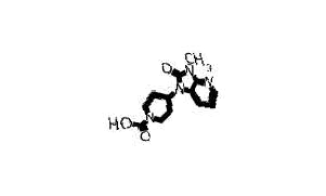 Cn1c(=O)n(C2CCN(C(=O)O)CC2)c2cccnc21